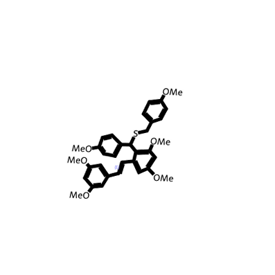 COc1ccc(CSC(c2ccc(OC)cc2)c2c(/C=C/c3cc(OC)cc(OC)c3)cc(OC)cc2OC)cc1